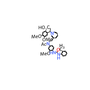 COc1cc(N(CCC2=CN(C(CC(=O)O)c3ccc(OC)c(OC)c3)C=CC=C2)C(C)=O)ccc1NC(=O)Nc1ccccc1C